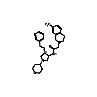 O=C(CN1CCc2ccc(C(F)(F)F)cc2C1)NC1CN(C2CCOCC2)C[C@@H]1SCc1cccnc1